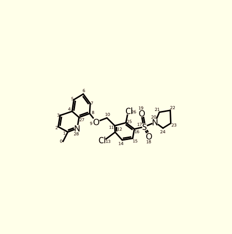 Cc1ccc2cccc(OCc3c(Cl)ccc(S(=O)(=O)N4CCCC4)c3Cl)c2n1